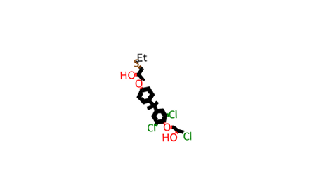 CCSCC(O)COc1ccc(C(C)(C)c2cc(Cl)c(OCC(O)CCl)c(Cl)c2)cc1